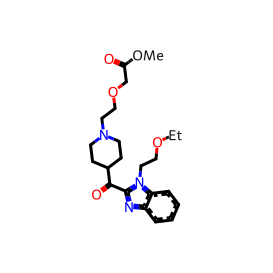 CCOCCn1c(C(=O)C2CCN(CCOCC(=O)OC)CC2)nc2ccccc21